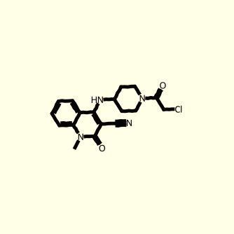 Cn1c(=O)c(C#N)c(NC2CCN(C(=O)CCl)CC2)c2ccccc21